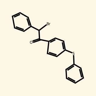 O=C(c1ccc(Sc2ccccc2)cc1)C(Br)c1ccccc1